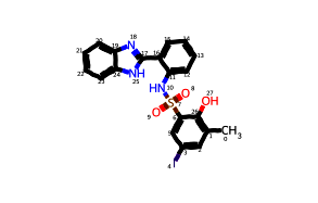 Cc1cc(I)cc(S(=O)(=O)Nc2ccccc2-c2nc3ccccc3[nH]2)c1O